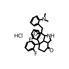 CN(C)c1ccccc1CC(=O)C1NCC2C(=O)CCC(c3ccccc3F)(c3ccccc3F)C21.Cl